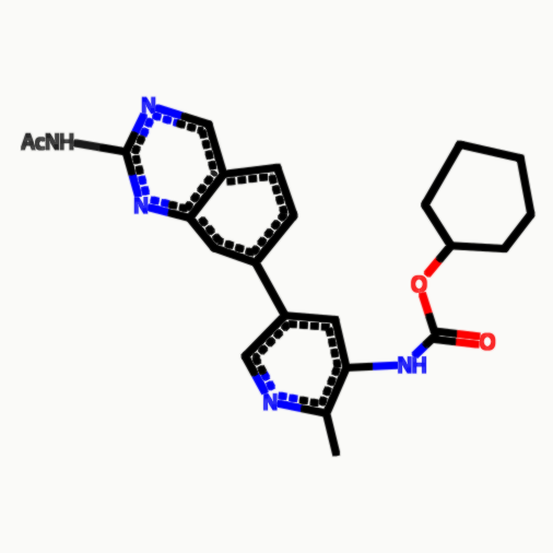 CC(=O)Nc1ncc2ccc(-c3cnc(C)c(NC(=O)OC4CCCCC4)c3)cc2n1